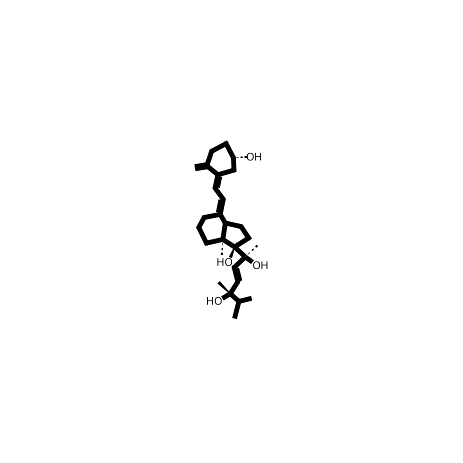 C=C1CC[C@H](O)CC1=CC=C1CCC[C@@]2(C)C1CC[C@]2(O)[C@@](C)(O)/C=C/[C@@](C)(O)C(C)C